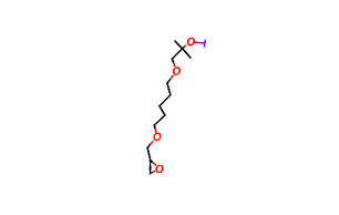 CC(C)(COCCCCCOCC1CO1)OI